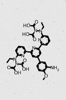 CCN(c1cccc(-c2cc(-c3ccc(OC)c(N)c3)cc(-c3cccc(N(CC)N(C(=O)O)C(=O)O)n3)n2)n1)N(C(=O)O)C(=O)O